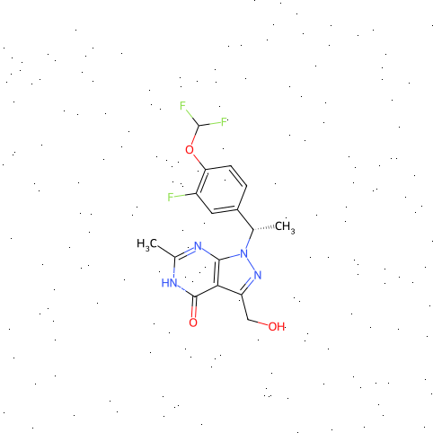 Cc1nc2c(c(CO)nn2[C@@H](C)c2ccc(OC(F)F)c(F)c2)c(=O)[nH]1